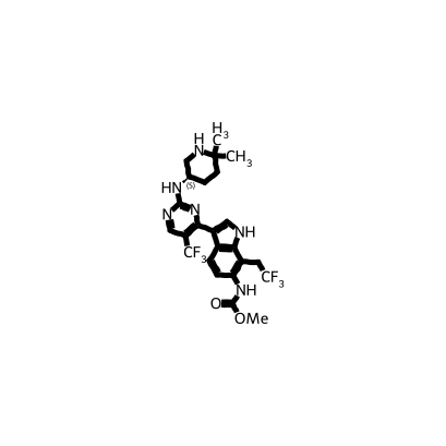 COC(=O)Nc1ccc2c(-c3nc(N[C@H]4CCC(C)(C)NC4)ncc3C(F)(F)F)c[nH]c2c1CC(F)(F)F